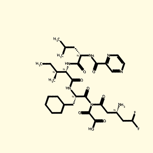 CC[C@H](C)[C@H](NC(=O)[C@H](CC(C)C)NC(=O)c1cnccn1)C(=O)N[C@@H](CC1CCCCC1)C(=O)N(C(=O)C[C@H](N)CC(F)F)C(=O)C(=O)O